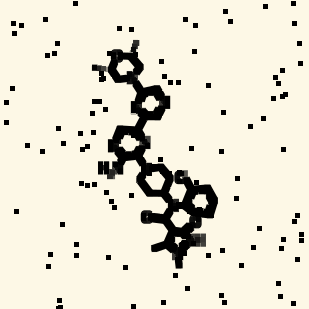 Cc1c(C(=O)N(c2ccccc2Cl)C2CCN(c3nc(-c4cncc(N5C[C@@H](C)O[C@@H](C)C5)n4)cnc3N)CC2)c(=O)[nH]n1C